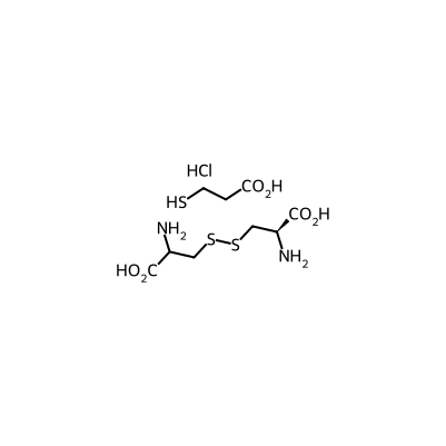 Cl.NC(CSSC[C@H](N)C(=O)O)C(=O)O.O=C(O)CCS